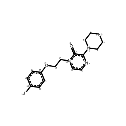 O=c1c(N2CCNCC2)nccn1CCOc1ccc(F)cc1